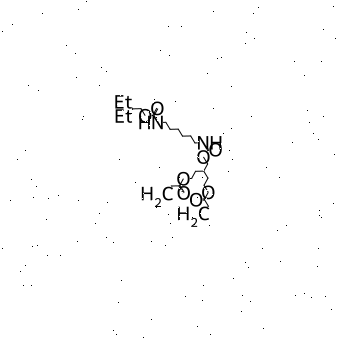 [CH2]CC(C[CH2])COC(=O)NCCCCCCNC(=O)OCC(CCOC(=O)C=C)CCOC(=O)C=C